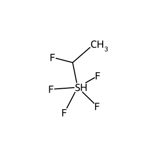 CC(F)[SH](F)(F)(F)F